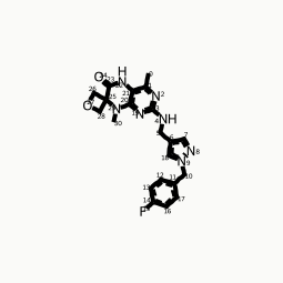 Cc1nc(NCc2cnn(Cc3ccc(F)cc3)c2)nc2c1NC(=O)C1(COC1)N2C